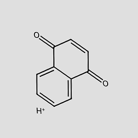 O=C1C=CC(=O)c2ccccc21.[H+]